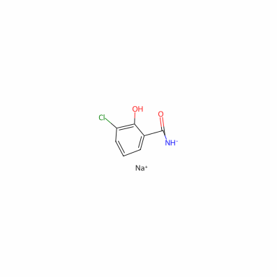 [NH-]C(=O)c1cccc(Cl)c1O.[Na+]